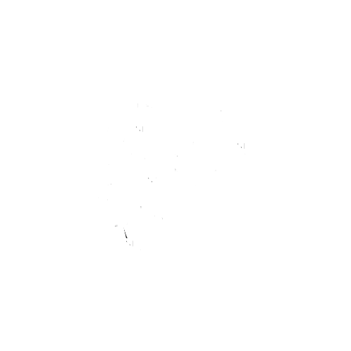 CCCCNC(=O)C1=CN(Cc2ccc(C(N)=O)cc2)C2C(=O)[C@@H](N)CSC2=C1